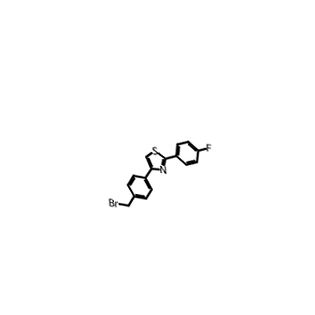 Fc1ccc(-c2nc(-c3ccc(CBr)cc3)cs2)cc1